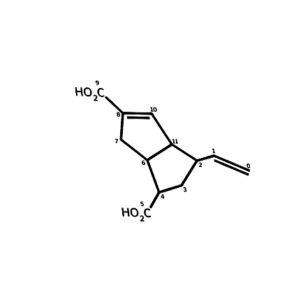 C=CC1CC(C(=O)O)C2CC(C(=O)O)=CC12